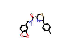 Cc1ccc(C2CS[CH][C@@H](C(=O)NCc3ccc4c(c3)OCO4)N2)cc1